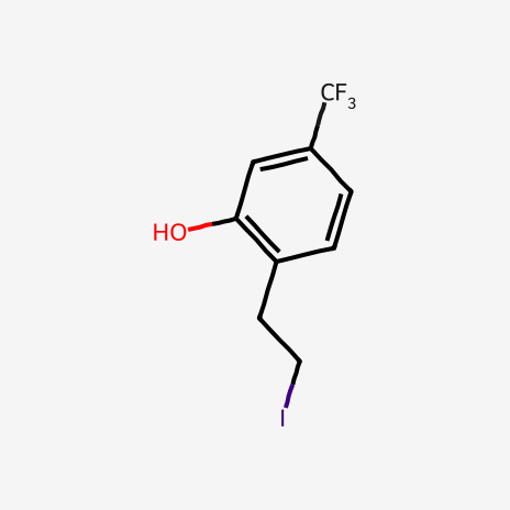 Oc1cc(C(F)(F)F)ccc1CCI